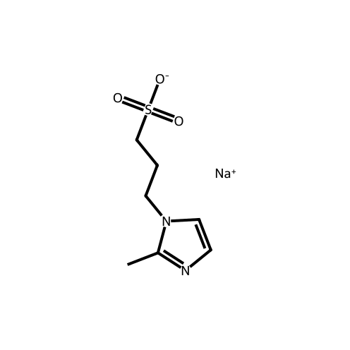 Cc1nccn1CCCS(=O)(=O)[O-].[Na+]